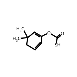 CC1(C)C=C(OC(=O)S)C=CC1